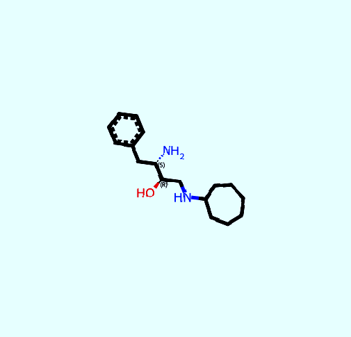 N[C@@H](Cc1ccccc1)[C@H](O)CNC1CCCCCC1